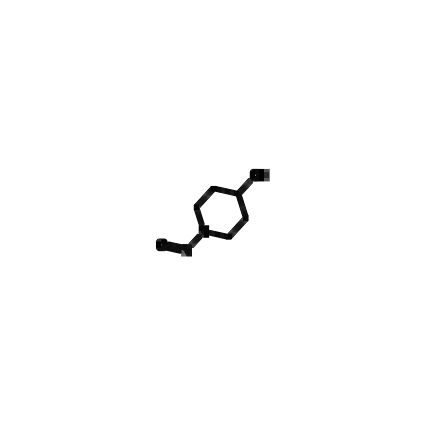 O=NN1CCC(O)CC1